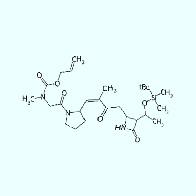 C=CCOC(=O)N(C)CC(=O)N1CCCC1C=C(C)C(=O)CC1NC(=O)C1C(C)O[Si](C)(C)C(C)(C)C